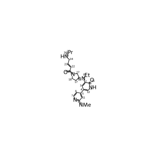 CCN(c1cc(-c2ccnc(NC)c2)c[nH]c1=O)[C@@H]1CCN(C(=O)C=CCNC(C)C)C1